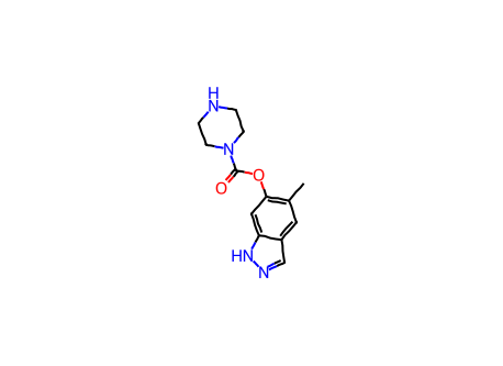 Cc1cc2cn[nH]c2cc1OC(=O)N1CCNCC1